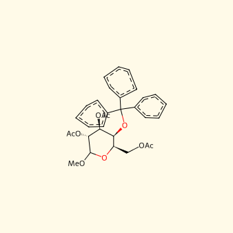 COC1O[C@H](COC(C)=O)[C@H](OC(c2ccccc2)(c2ccccc2)c2ccccc2)[C@H](OC(C)=O)[C@H]1OC(C)=O